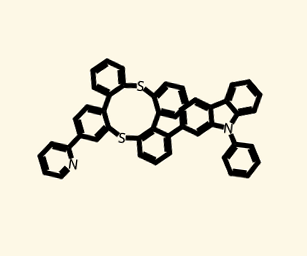 c1ccc(-n2c3ccccc3c3ccc(-c4cccc5c4-c4ccccc4Sc4ccccc4-c4ccc(-c6ccccn6)cc4S5)cc32)cc1